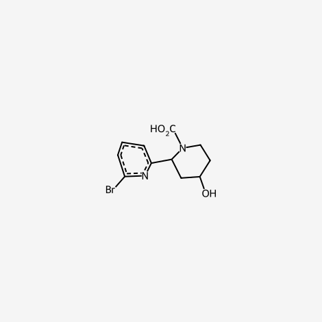 O=C(O)N1CCC(O)CC1c1cccc(Br)n1